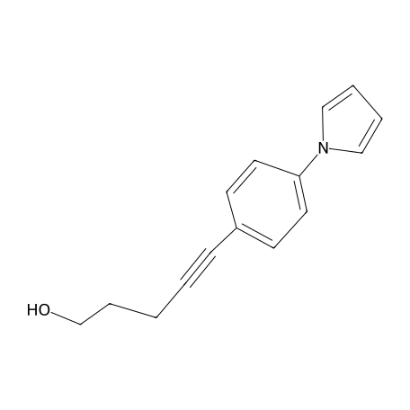 OCCCC#Cc1ccc(-n2cccc2)cc1